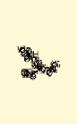 COc1cc(C(=O)NS(=O)(=O)c2ccccc2C)ccc1Cn1cc(CCC(=O)N2CCOCC2)c2ccc(CC(=O)N(C)C3CCCC3)cc21